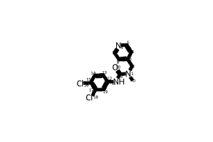 CN(Cc1ccncc1)C(=O)Nc1ccc(Cl)c(Cl)c1